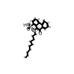 CCCCCCCCCCOC1C(=O)c2ccccc2-c2cccc(P(=O)(O)O)c21